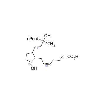 CCCCCC(C)(O)/C=C/C1CC[C@@H](O)C1C/C=C\CCCC(=O)O